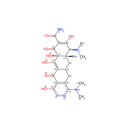 CCN(C)[C@@H]1C(O)=C(C(N)=O)C(=O)[C@@]2(O)C(O)=C3C(=O)c4c(O)cnc(N(C)C)c4CC3C[C@@H]12